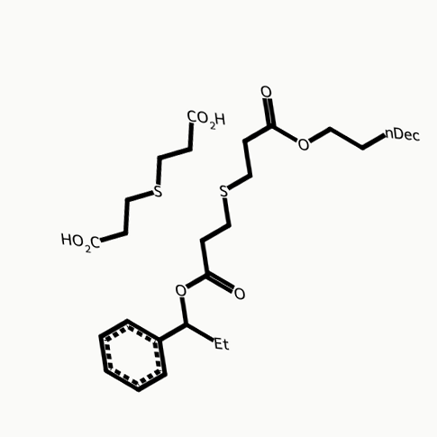 CCCCCCCCCCCCOC(=O)CCSCCC(=O)OC(CC)c1ccccc1.O=C(O)CCSCCC(=O)O